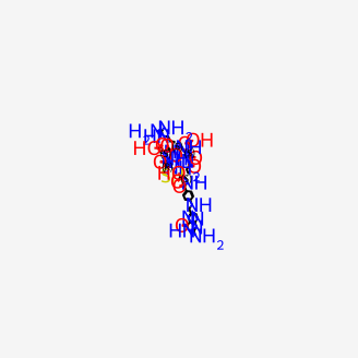 Nc1nc2ncc(CNc3ccc(C(=O)N[C@@H](CCC(=O)NC(=O)[C@H](CC(=O)O)NN[C@@H](CCCNC(N)N)C(=O)C(=O)[C@H](CC(=O)O)NC(=O)[C@@H](N)CS)C(=O)O)cc3)nc2c(=O)[nH]1